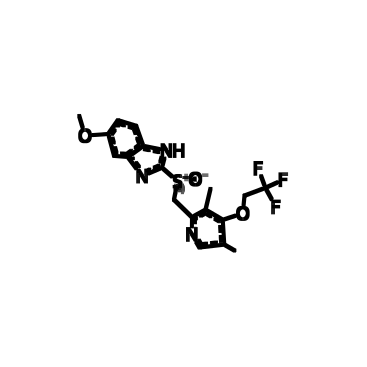 COc1ccc2[nH]c([S@@+]([O-])Cc3ncc(C)c(OCC(F)(F)F)c3C)nc2c1